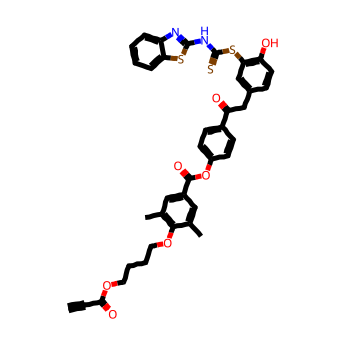 C#CC(=O)OCCCCOc1c(C)cc(C(=O)Oc2ccc(C(=O)Cc3ccc(O)c(SC(=S)Nc4nc5ccccc5s4)c3)cc2)cc1C